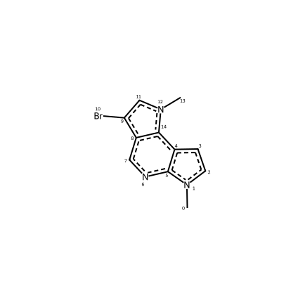 Cn1ccc2c1ncc1c(Br)cn(C)c12